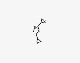 C(OCC1CO1)C1CO1.CS